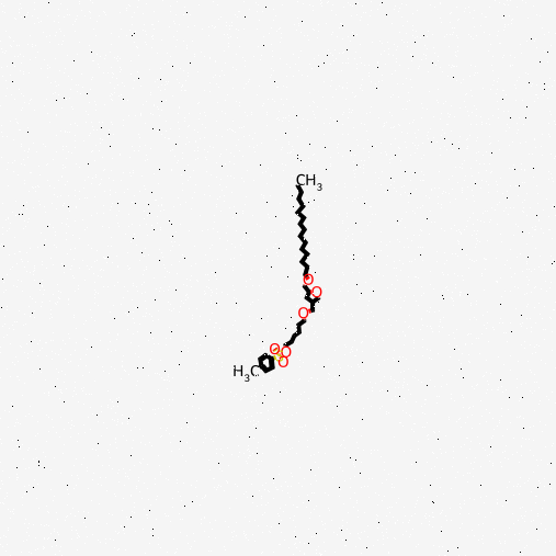 CCCCCCCCCCCCCCCCOCC1CC(COCCCCCCOS(=O)(=O)c2ccc(C)cc2)CO1